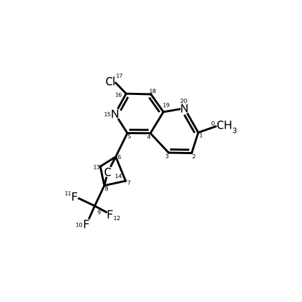 Cc1ccc2c(C34CC(C(F)(F)F)(C3)C4)nc(Cl)cc2n1